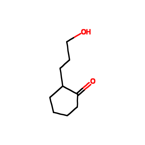 O=C1CCCCC1CCCO